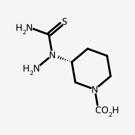 NC(=S)N(N)[C@@H]1CCCN(C(=O)O)C1